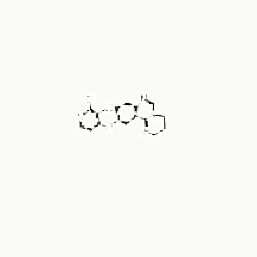 N#Cc1c(Oc2ccc3c(c2)C2=NCCCN2C=N3)ccnc1Cl